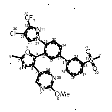 COc1ncc(-c2nc(C)oc2-c2cc(-c3cccc(S(C)(=O)=O)c3)ccc2-n2cc(Cl)c(C(F)(F)F)n2)cn1